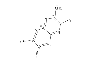 Cc1nc2cc(F)c(F)cc2nc1C=O